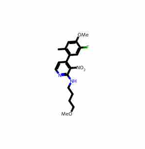 COCCCCNc1nccc(-c2cc(F)c(OC)cc2C)c1[N+](=O)[O-]